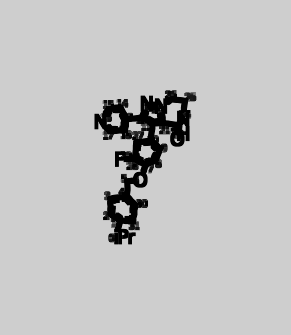 CC(C)c1ccc(COc2ccc(-c3c(-c4ccncc4)nn4c3C(=O)NCC4)cc2F)cc1